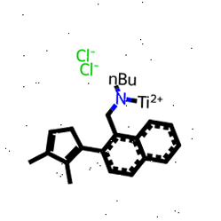 CCCC[N]([Ti+2])Cc1c(C2=C(C)C(C)=CC2)ccc2ccccc12.[Cl-].[Cl-]